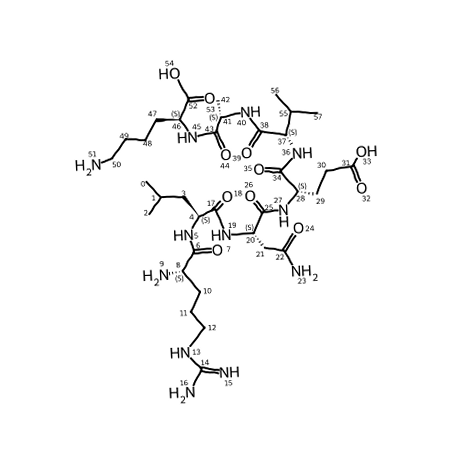 CC(C)C[C@H](NC(=O)[C@@H](N)CCCNC(=N)N)C(=O)N[C@@H](CC(N)=O)C(=O)N[C@@H](CCC(=O)O)C(=O)N[C@H](C(=O)N[C@@H](C)C(=O)N[C@@H](CCCCN)C(=O)O)C(C)C